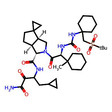 CC1([C@H](NC(=O)NC2(CS(=O)(=O)C(C)(C)C)CCCCC2)C(=O)N2C[C@H]3[C@H](CCC34CC4)[C@H]2C(=O)NC(CC2CC2)C(=O)C(N)=O)CCCCC1